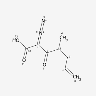 C=CCC(C)C(=O)C(=[N+]=[N-])C(=O)O